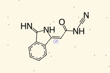 N#CNC(=O)/C=C1\NC(=N)c2ccccc21